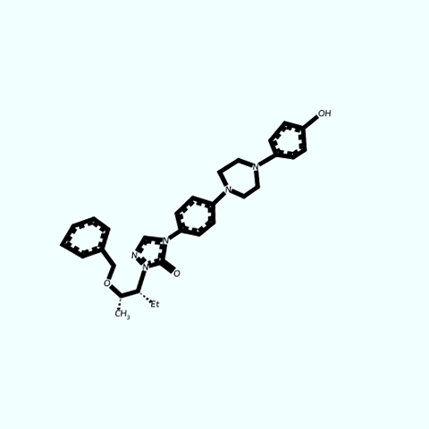 CC[C@H]([C@H](C)OCc1ccccc1)n1ncn(-c2ccc(N3CCN(c4ccc(O)cc4)CC3)cc2)c1=O